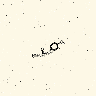 CNNC(=O)Nc1ccc(OC)cc1